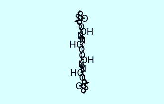 Cc1cc(OCC(O)CN2CCN(CC(O)COCCOCC(O)CN3CCN(CC(O)COc4cc(C)c5sc6ccccc6c(=O)c5c4)CC3)CC2)cc2c(=O)c3ccccc3sc12